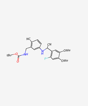 COc1cc(F)c(C(C#N)Nc2ccc(C#N)c(CNC(=O)OC(C)(C)C)c2)cc1OC